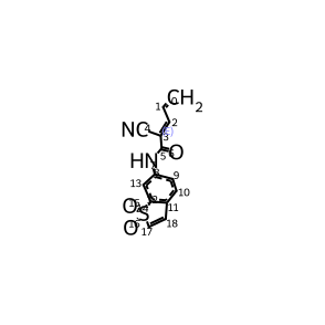 C=C/C=C(\C#N)C(=O)Nc1ccc2c(c1)S(=O)(=O)C=C2